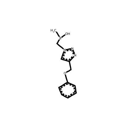 CB(O)Cn1cc(COc2ccccc2)nn1